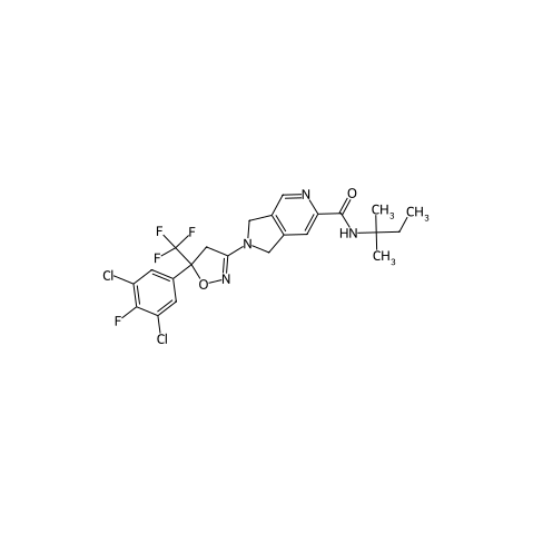 CCC(C)(C)NC(=O)c1cc2c(cn1)CN(C1=NOC(c3cc(Cl)c(F)c(Cl)c3)(C(F)(F)F)C1)C2